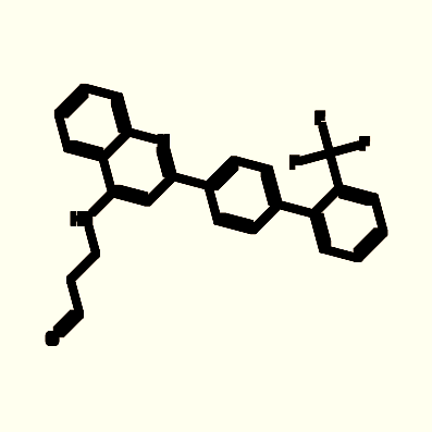 O=CCCNc1cc(-c2ccc(-c3ccccc3C(F)(F)F)cc2)nc2ccccc12